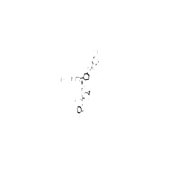 NC(=O)c1nn(CC(=O)N(CC(=O)NCc2cccc(Cl)c2F)C2CC2)c2ccc(NC(=O)N3CCNCC3)cc12